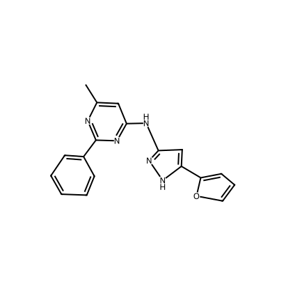 Cc1cc(Nc2cc(-c3ccco3)[nH]n2)nc(-c2ccccc2)n1